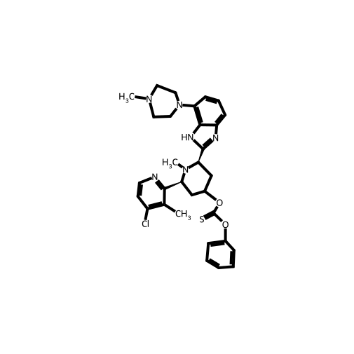 Cc1c(Cl)ccnc1[C@@H]1CC(OC(=S)Oc2ccccc2)C[C@H](c2nc3cccc(N4CCN(C)CC4)c3[nH]2)N1C